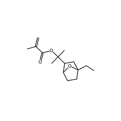 C=C(C)C(=O)OC(C)(C)C1CC2(CC)CCC1O2